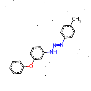 Cc1ccc(/N=N/Nc2cccc(Oc3ccccc3)c2)cc1